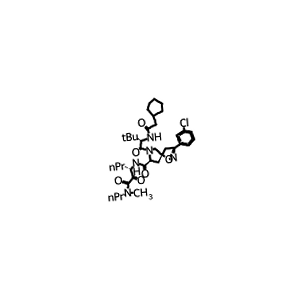 CCC[C@H](NC(=O)[C@@H]1C[C@]2(CC(c3cccc(Cl)c3)=NO2)CN1C(=O)[C@@H](NC(=O)CC1CCCCC1)C(C)(C)C)C(=O)C(=O)N(C)CCC